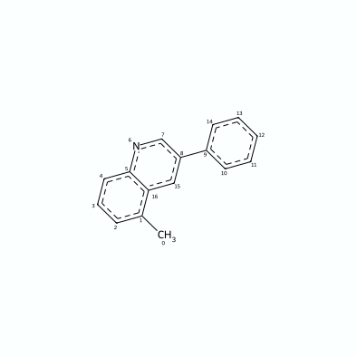 Cc1cccc2ncc(-c3ccccc3)cc12